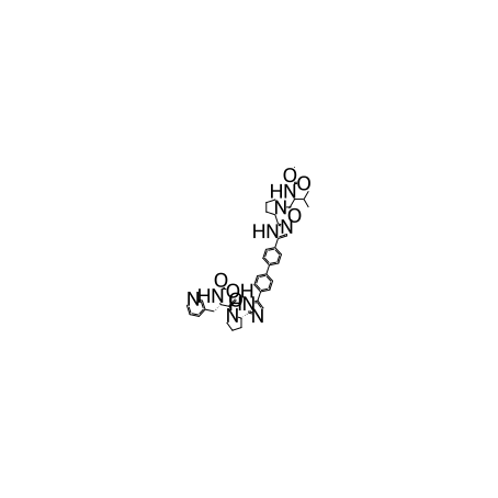 COC(=O)N[C@H](C(=O)N1CCCC1c1ncc(-c2ccc(-c3ccc(-c4cnc([C@@H]5CCCN5C(=O)[C@H](Cc5cccnc5)NC(=O)O)[nH]4)cc3)cc2)[nH]1)C(C)C